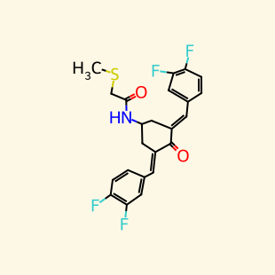 CSCC(=O)NC1C/C(=C\c2ccc(F)c(F)c2)C(=O)/C(=C/c2ccc(F)c(F)c2)C1